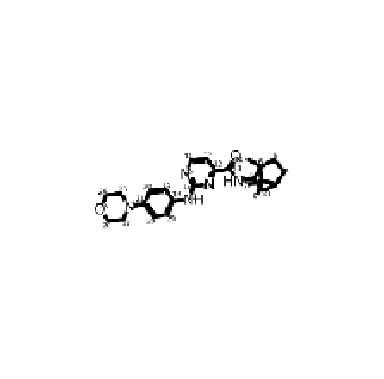 CC1(C)C2CCC1(C)C(NC(=O)c1ccnc(Nc3ccc(N4CCOCC4)cc3)n1)C2